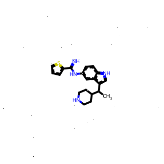 CC(c1c[nH]c2ccc(NC(=N)c3cccs3)cc12)C1CCNCC1